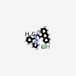 CN(C(=O)Cc1c2ccccc2cc2ccccc12)[C@H](CN1CCCC1)c1ccccc1.Cl